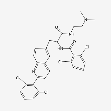 CN(C)CCNC(=O)C(Cc1ccc2nc(-c3c(Cl)cccc3Cl)ccc2c1)NC(=O)c1c(Cl)cccc1Cl